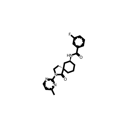 Cc1ccnc(N2CC[C@]3(CCC[C@H](NC(=O)c4cccc(F)c4)C3)C2=O)n1